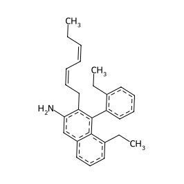 CC/C=C\C=C/Cc1c(N)cc2cccc(CC)c2c1-c1ccccc1CC